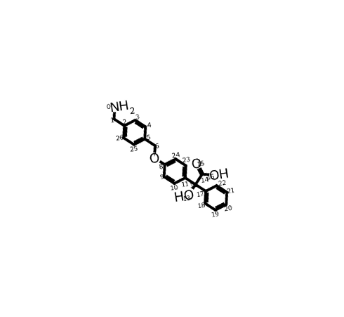 NCc1ccc(COc2ccc(C(O)(C(=O)O)c3ccccc3)cc2)cc1